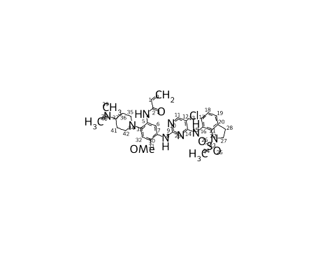 C=CC(=O)Nc1cc(Nc2ncc(Cl)c(Nc3cccc4c3N(S(C)(=O)=O)CC4)n2)c(OC)cc1N1CCC(N(C)C)CC1